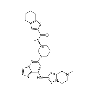 CN1CCn2nc(Nc3cc(N4CCC[C@H](NC(=O)c5cc6c(s5)CCCC6)C4)nn4ccnc34)cc2C1